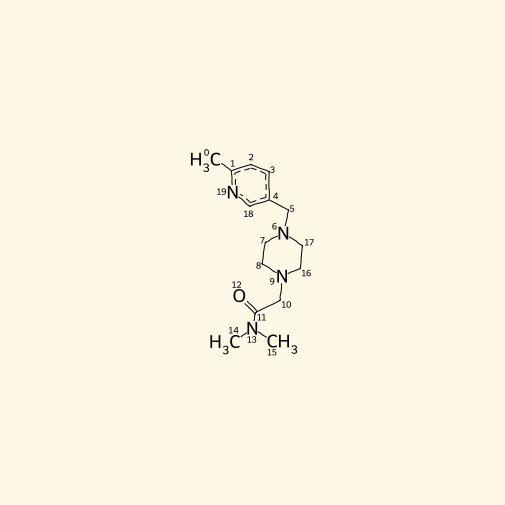 Cc1ccc(CN2CCN(CC(=O)N(C)C)CC2)cn1